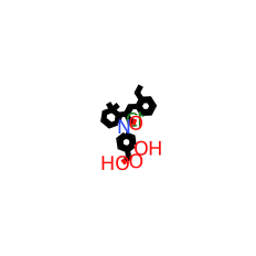 CCc1cccc(Cl)c1/C=C1\C(=O)N(c2ccc(C(=O)O)c(O)c2)C2=C1C(C)(C)CC=C2